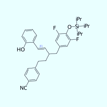 CC(C)[Si](Oc1c(F)cc(CC(/C=C/c2ccccc2O)CCc2ccc(C#N)cc2)cc1F)(C(C)C)C(C)C